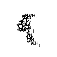 CCS(=O)(=O)c1ccc(CNc2nc3cnc(-c4c(OC)ncnc4C4CC4)nc3n(C3CCCC4CC[C@H]43)c2=O)nc1